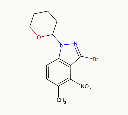 Cc1ccc2c(c(Br)nn2C2CCCCO2)c1[N+](=O)[O-]